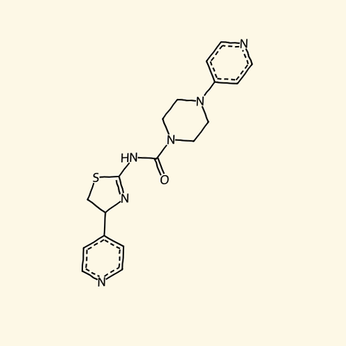 O=C(NC1=NC(c2ccncc2)CS1)N1CCN(c2ccncc2)CC1